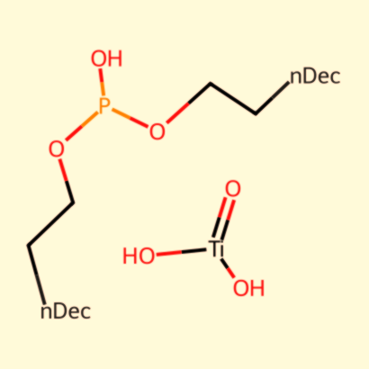 CCCCCCCCCCCCOP(O)OCCCCCCCCCCCC.[O]=[Ti]([OH])[OH]